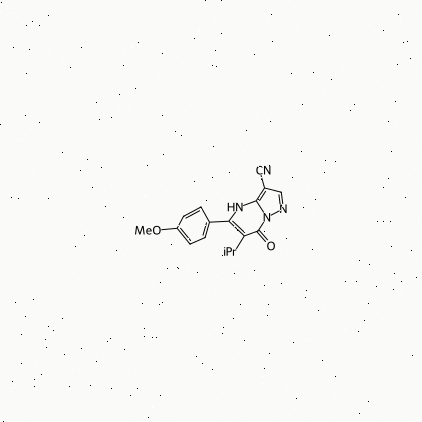 COc1ccc(-c2[nH]c3c(C#N)cnn3c(=O)c2C(C)C)cc1